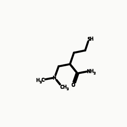 CN(C)CC(CCS)C(N)=O